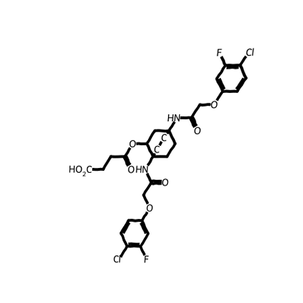 O=C(O)CCC(=O)OC1CC2(NC(=O)COc3ccc(Cl)c(F)c3)CCC1(NC(=O)COc1ccc(Cl)c(F)c1)CC2